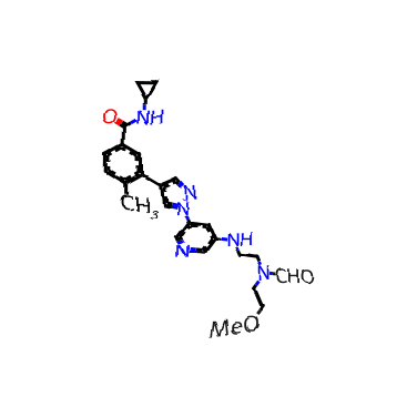 COCCN(C=O)CCNc1cncc(-n2cc(-c3cc(C(=O)NC4CC4)ccc3C)cn2)c1